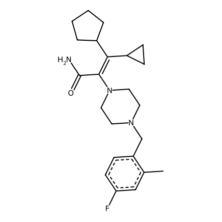 Cc1cc(F)ccc1CN1CCN(/C(C(N)=O)=C(/C2CCCC2)C2CC2)CC1